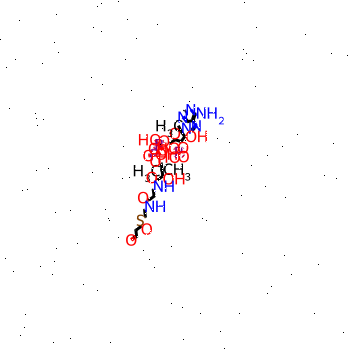 CC(C)(COP(=O)(O)OP(=O)(O)OCC1OC(C)(n2cnc3c(N)ncnc32)C(O)C1OP(=O)(O)O)C(O)C(=O)NCCC(=O)NCCSC(=O)CC=O